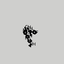 CCc1nc2ccc(-c3cnc(N4CCC(NC5CC5)CC4)nc3)cn2c1N(C)c1cc(-c2ccc(F)cc2)c(C#N)s1